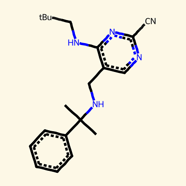 CC(C)(C)CNc1nc(C#N)ncc1CNC(C)(C)c1ccccc1